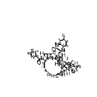 Cc1nc2ccc(F)cc2nc1O[C@@H]1C[C@H]2C(=O)N[C@]3(C(=O)NS(=O)(=O)C4(C)CC4)C[C@H]3C=CCCCCC[C@H](NC(=O)c3cscn3)C(=O)N2C1